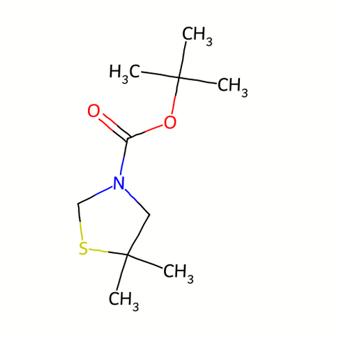 CC(C)(C)OC(=O)N1CSC(C)(C)C1